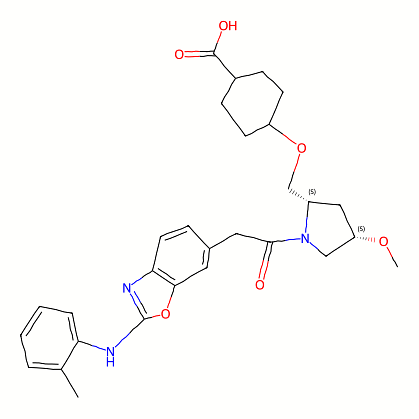 CO[C@H]1C[C@@H](COC2CCC(C(=O)O)CC2)N(C(=O)Cc2ccc3nc(Nc4ccccc4C)oc3c2)C1